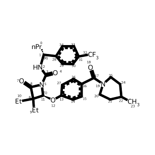 CCC[C@@H](NC(=O)N1C(=O)C(CC)(CC)[C@@H]1Oc1ccc(C(=O)N2CCC(C)CC2)cc1)c1ccc(C(F)(F)F)cc1